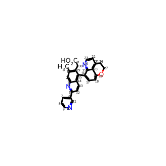 Cc1cc2nc(-c3cccnc3)ccc2c(-c2ccc3c4c(ccnc24)CCO3)c1CC(=O)O